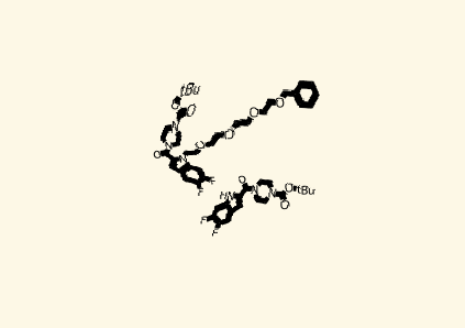 CC(C)(C)OC(=O)N1CCN(C(=O)c2cc3cc(F)c(F)cc3[nH]2)CC1.CC(C)(C)OC(=O)N1CCN(C(=O)c2cc3cc(F)c(F)cc3n2CCOCCOCCOCCOCc2ccccc2)CC1